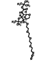 CC(C)(C)OC(=O)N[C@H]1[C@H]2OC[C@](COCCOCCOCCOCCN=[N+]=[N-])(O2)[C@@H]2OC(C)(C)O[C@H]12